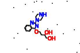 OC[C@H](O)CCOc1nc(N2CCNCC2)nc2ccccc12